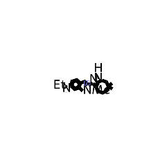 CCN(C)c1ccc(/C=C(\NC)C2=NNC3C=C2CCCC(C)(C)C3)c(C)c1